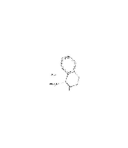 O=C(O)[C@H]1NCCc2ccccc21.[Na]